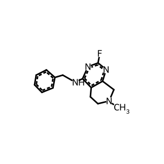 CN1CCc2c(nc(F)nc2NCc2ccccc2)C1